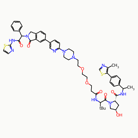 Cc1ncsc1-c1ccc(C(C)NC(=O)[C@@H]2C[C@@H](O)CN2C(=O)C(NC(=O)CCOCCOCCN2CCN(c3ccc(-c4ccc5c(c4)C(=O)N(C(C(=O)Nc4nccs4)c4ccccc4)C5)cn3)CC2)C(C)(C)C)cc1